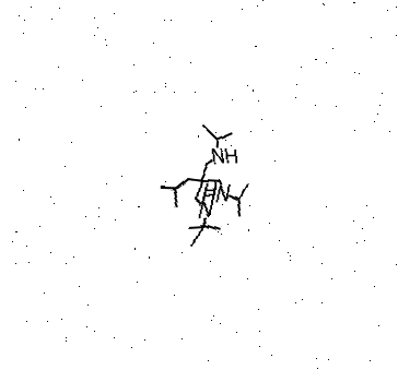 CC(C)CC(CNC(C)C)(CNC(C)C)CNC(C)(C)C